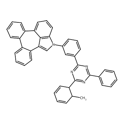 CC1C=CC=CC1c1nc(-c2ccccc2)nc(-c2cccc(-n3cc4c5c(cccc53)-c3ccccc3-c3ccccc3-4)c2)n1